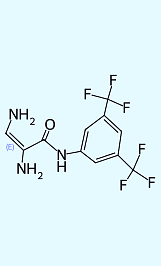 N/C=C(/N)C(=O)Nc1cc(C(F)(F)F)cc(C(F)(F)F)c1